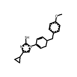 COc1ccc(CC2C=CC(n3cc(C4CC4)nc3S)=CC2)cc1